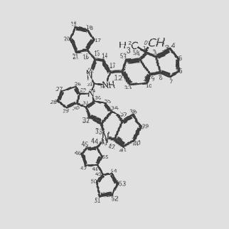 CC1(C)c2ccccc2-c2ccc(C3=CC(c4ccccc4)=NC(n4c5ccccc5c5cc6c(cc54)c4ccccc4n6-c4cccc(-c5ccccc5)c4)N3)cc21